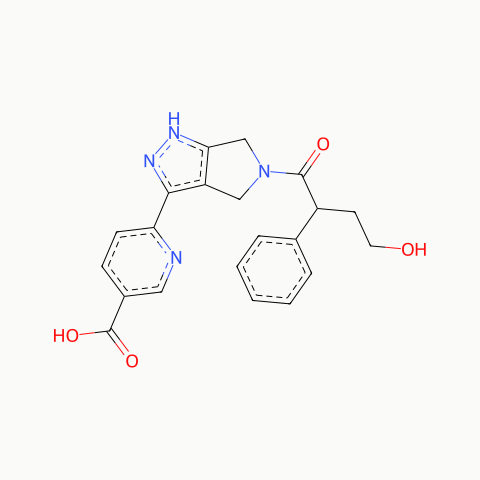 O=C(O)c1ccc(-c2n[nH]c3c2CN(C(=O)C(CCO)c2ccccc2)C3)nc1